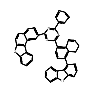 C1=Cc2c(-c3nc(-c4ccccc4)nc(-c4ccc5ccc6oc7ccccc7c6c5c4)n3)ccc(-c3cccc4oc5ccccc5c34)c2CC1